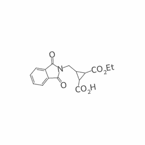 CCOC(=O)C1C(CN2C(=O)c3ccccc3C2=O)C1C(=O)O